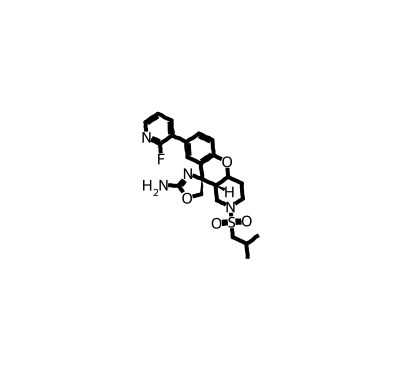 CC(C)CS(=O)(=O)N1CCC2Oc3ccc(-c4cccnc4F)cc3[C@]3(COC(N)=N3)[C@H]2C1